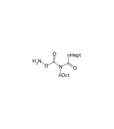 CCCCCCCCN(C(=O)CCCCCCC)C(=O)ON